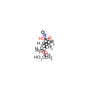 CC(C)C1=C2[C@@]([C@H](O)CN3Cc4ccccc4C3)(CC[C@]3(C)[C@]2(C)CCC2[C@@]4(C)CC[C@H](OC(=O)CC(C)(C)C(=O)O)C(C)(C)C4CC[C@]23C)CC1=O